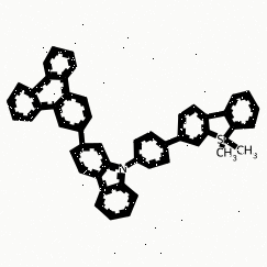 C[Si]1(C)c2ccccc2-c2ccc(-c3ccc(-n4c5ccccc5c5ccc(-c6ccc7c8ccccc8c8ccccc8c7c6)cc54)cc3)cc21